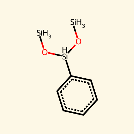 [SiH3]O[SiH](O[SiH3])c1ccccc1